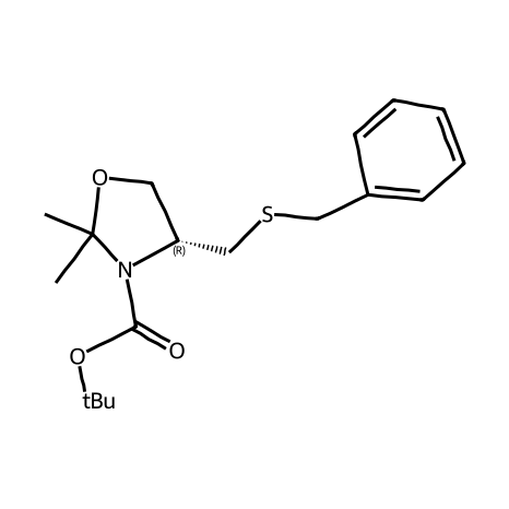 CC(C)(C)OC(=O)N1[C@@H](CSCc2ccccc2)COC1(C)C